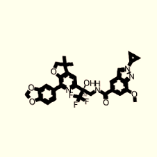 COc1cc(C(=O)NC[C@](O)(c2cc3c(c(-c4ccc5c(c4)OCO5)n2)OCC3(C)C)C(F)(F)F)cc2cn(C3CC3)nc12